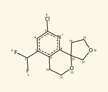 FC(F)c1cc(Cl)nc2c1CCOC21CCOC1